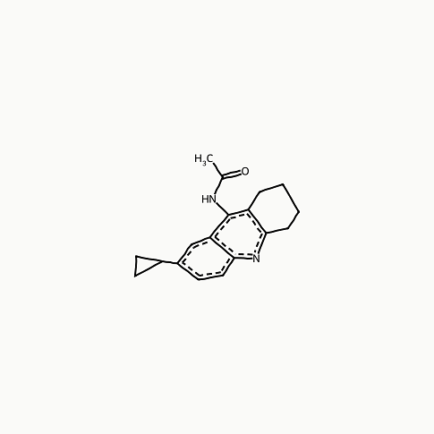 CC(=O)Nc1c2c(nc3ccc(C4CC4)cc13)CCCC2